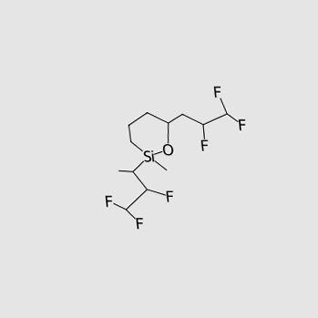 CC(C(F)C(F)F)[Si]1(C)CCCC(CC(F)C(F)F)O1